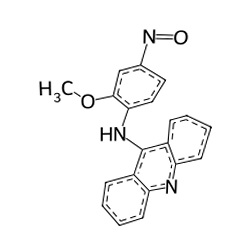 COc1cc(N=O)ccc1Nc1c2ccccc2nc2ccccc12